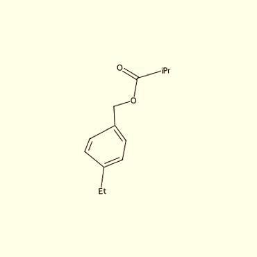 CCc1ccc(COC(=O)C(C)C)cc1